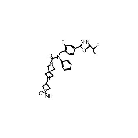 N=S1(=O)CC(N2CC3(CN(C(=O)N(Cc4ccc(-c5nnc(C(F)F)o5)cc4F)c4ccccc4)C3)C2)C1